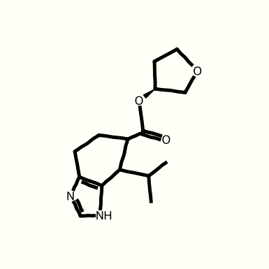 CC(C)C1c2[nH]cnc2CCC1C(=O)O[C@H]1CCOC1